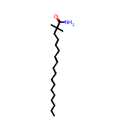 CCCCCCCCCCCCCCCCC(C)(C)C(N)=O